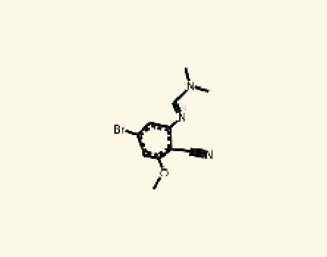 COc1cc(Br)cc(/N=C/N(C)C)c1C#N